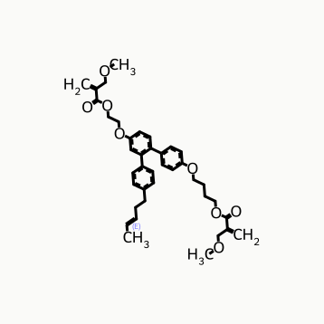 C=C(COC)C(=O)OCCCCOc1ccc(-c2ccc(OCCOC(=O)C(=C)COC)cc2-c2ccc(CC/C=C/C)cc2)cc1